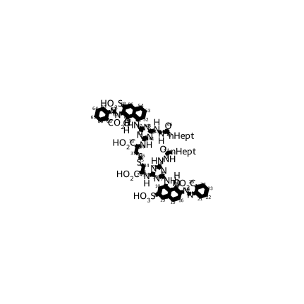 CCCCCCCC(=O)NNc1nc(Nc2cc(S(=O)(=O)O)cc3ccc(/N=N/c4ccccc4C(=O)O)c(O)c23)nc(NC(CSSCC(Nc2nc(NNC(=O)CCCCCCC)nc(Nc3cccc4cc(S(=O)(=O)O)c(/N=N/c5ccccc5C(=O)O)c(O)c34)n2)C(=O)O)C(=O)O)n1